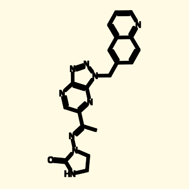 C/C(=N\N1CCNC1=O)c1cnc2nnn(Cc3ccc4ncccc4c3)c2n1